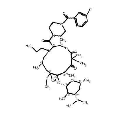 CCCN1C[C@H](C)C[C@@](C)(OC)[C@H](O[C@@H]2O[C@H](C)C[C@H](N(C)C)[C@H]2O)[C@@H](C)C(=O)C(C)(C)C(=O)O[C@@H](C)[C@@H]1C(=O)N1CCN(C(=O)c2cccc(Cl)c2)CC1